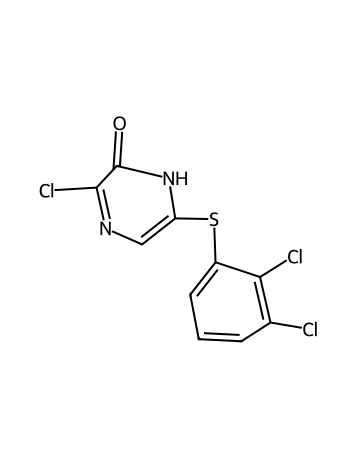 O=c1[nH]c(Sc2cccc(Cl)c2Cl)cnc1Cl